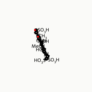 COc1cc(N=Nc2ccc3cccc(S(=O)(=O)O)c3c2)c(C)cc1N=Nc1cc(OC)c(N=Nc2ccc3cc(-n4nc5ccc6c(S(=O)(=O)O)cc(S(=O)(=O)O)cc6c5n4)ccc3c2O)cc1CO